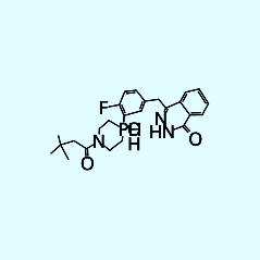 CC(C)(C)CC(=O)N1CC[PH](O)(c2cc(Cc3n[nH]c(=O)c4ccccc34)ccc2F)CC1